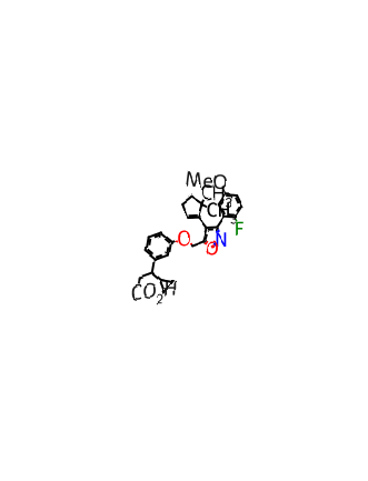 COc1ccc(F)c(-c2noc(COc3cccc(C(CC(=O)O)C4CC4)c3)c2C2=CCCC2(C)C)c1